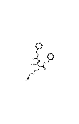 C#CCOCCN(C(=O)OCc1ccccc1)C(N)=NC(=O)OCc1ccccc1